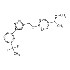 COC(C)c1cnc(OCc2cn(-c3cccc(C(C)(F)F)c3)nn2)nc1